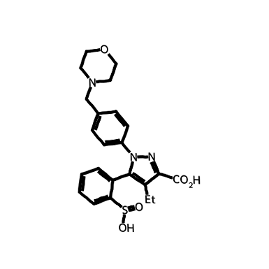 CCc1c(C(=O)O)nn(-c2ccc(CN3CCOCC3)cc2)c1-c1ccccc1S(=O)O